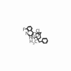 CC(Cc1ccccc1)(CC1CC1(Cl)Cl)C(=O)Nc1cnc2c(F)cccc2c1